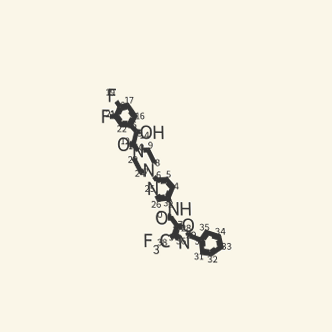 O=C(Nc1ccc(N2CCN(C(=O)C(O)c3ccc(F)c(F)c3)CC2)nc1)c1oc(-c2ccccc2)nc1C(F)(F)F